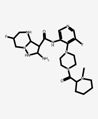 CN1CCCCC1C(=O)N1CCN(c2c(F)cncc2NC(=O)C2C(N)NN3CC(F)CNC23)CC1